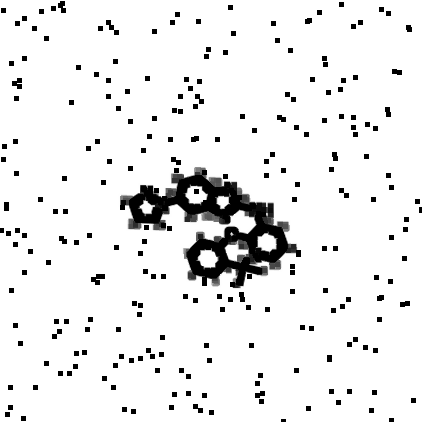 CC(C)(C)c1ccccc1Oc1ncccc1Nc1nc2ccc(-n3cccn3)cc2s1